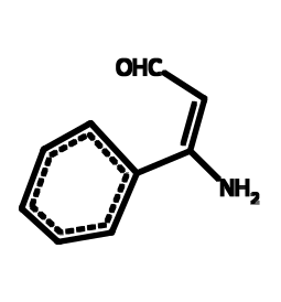 N/C(=C/C=O)c1ccccc1